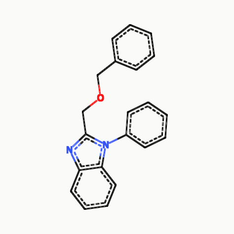 c1ccc(COCc2nc3ccccc3n2-c2ccccc2)cc1